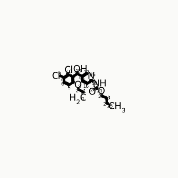 C=CCOc1ccc(Cl)c(Cl)c1C(O)c1ccc(NC(=O)OCCCC)nc1